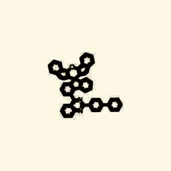 c1ccc(-c2ccc(-c3nc(-c4cccc5c4-c4ccccc4C54c5ccc6ccccc6c5Oc5c4ccc4ccccc54)c4ccccc4n3)cc2)cc1